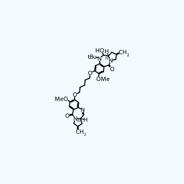 C=C1C[C@H]2C=Nc3cc(OCCCCCOc4cc5c(cc4OC)C(=O)N4CC(=C)C[C@H]4C(O)N5C(C)(C)C)c(OC)cc3C(=O)N2C1